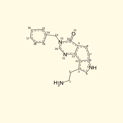 NCCc1c[nH]c2ccc3c(=O)n(Cc4ccccc4)cnc3c12